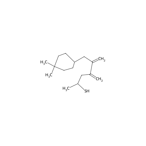 C=C(CC(C)S)C(=C)CC1CCC(C)(C)CC1